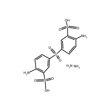 N.N.Nc1ccc(S(=O)(=O)c2ccc(N)c(S(=O)(=O)O)c2)cc1S(=O)(=O)O